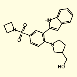 O=S(=O)(c1ccc(N2CCC(CO)C2)c(-c2cc3ccccc3[nH]2)c1)N1CCC1